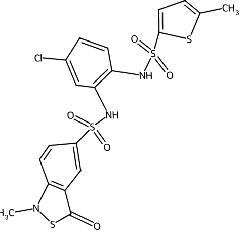 Cc1ccc(S(=O)(=O)Nc2ccc(Cl)cc2NS(=O)(=O)c2ccc3c(c2)c(=O)sn3C)s1